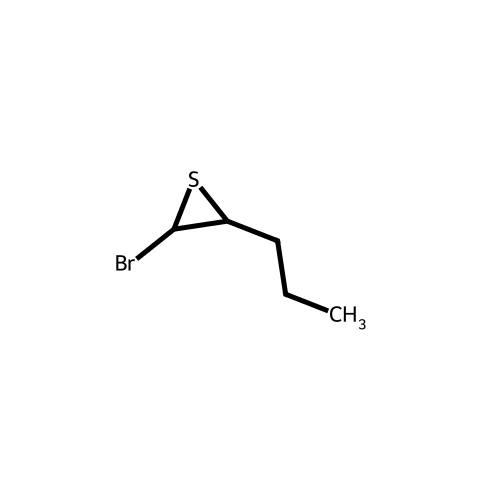 CCCC1SC1Br